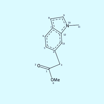 COC(=O)Cc1ccc2ccn(C)c2c1